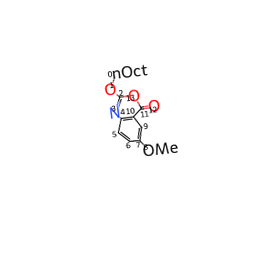 CCCCCCCCOc1nc2ccc(OC)cc2c(=O)o1